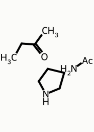 C1CCNC1.CC(N)=O.CCC(C)=O